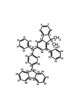 CC1(C)c2ccccc2-c2cc(N(c3ccccc3)c3ccc(-n4c5ccccc5c5ccccc54)cc3)cc(-c3ccccc3)c21